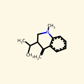 C=C1c2ccccc2N(C)CC1C(C)C